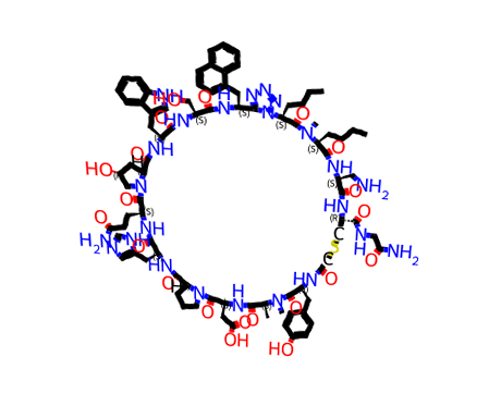 CCCC[C@H]1C(=O)N[C@@H](CN)C(=O)N[C@H](C(=O)NCC(N)=O)CSCC(=O)N[C@@H](Cc2ccc(O)cc2)C(=O)N(C)[C@@H](C)C(=O)N[C@@H](CC(=O)O)C(=O)N2CCC[C@H]2C(=O)N[C@@H](Cc2cnc[nH]2)C(=O)N[C@@H](CCC(N)=O)C(=O)N2C[C@H](O)C[C@H]2C(=O)N[C@@H](Cc2c[nH]c3ccccc23)C(=O)N[C@@H](CO)C(=O)N[C@@H](Cc2cccc3ccccc23)c2nnnn2[C@@H](CCCC)C(=O)N1C